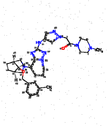 CN1CCN(C(=O)Cn2cc(Nc3nc4c(N5C[C@H]6CC[C@@H](C5)[C@H]6OCc5cccc(C#N)c5)cccn4n3)cn2)CC1